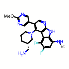 CCNc1cc(F)c(F)c2c1[nH]c1ncc(-c3cnc(OC)nc3)c(N3CCC[C@@H](CN)C3)c12